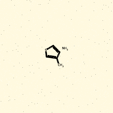 Cc1ccsc1.N